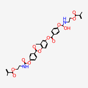 C=C(C)C(=O)OCCNC(=O)Oc1ccc(C(=O)Oc2ccc(OC(=O)c3ccc(OC(O)NCCOC(=O)C(=C)C)cc3)cc2C)cc1